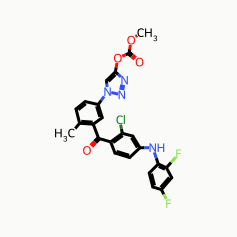 COC(=O)Oc1cn(-c2ccc(C)c(C(=O)c3ccc(Nc4ccc(F)cc4F)cc3Cl)c2)nn1